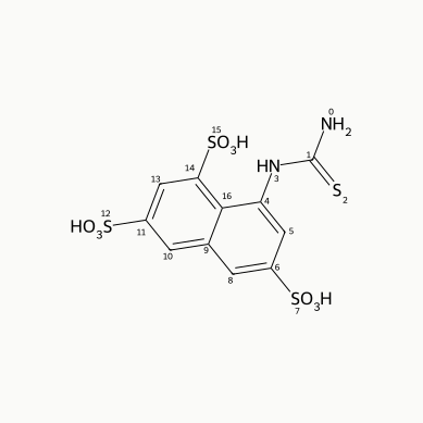 NC(=S)Nc1cc(S(=O)(=O)O)cc2cc(S(=O)(=O)O)cc(S(=O)(=O)O)c12